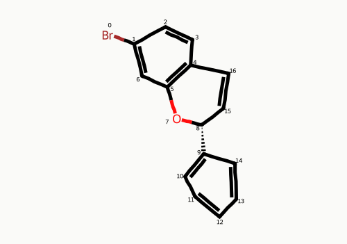 Brc1ccc2c(c1)O[C@@H](c1ccccc1)C=C2